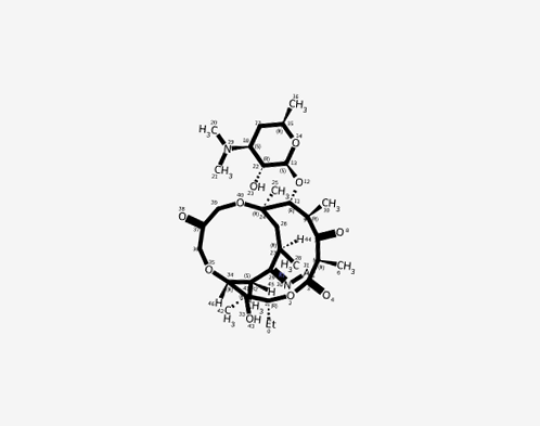 CC[C@H]1OC(=O)[C@H](C)C(=O)[C@H](C)[C@@H](O[C@@H]2O[C@H](C)C[C@H](N(C)C)[C@H]2O)[C@@]2(C)C[C@@H](C)/C(=N\C(C)=O)[C@H](C)[C@@H](OCC(=O)CO2)[C@]1(C)O